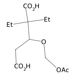 CCC(CC)(C(=O)O)C(CC(=O)O)OCOC(C)=O